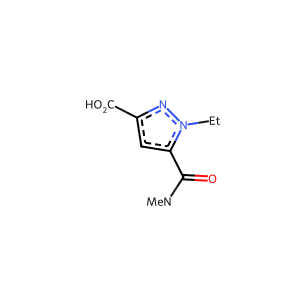 CCn1nc(C(=O)O)cc1C(=O)NC